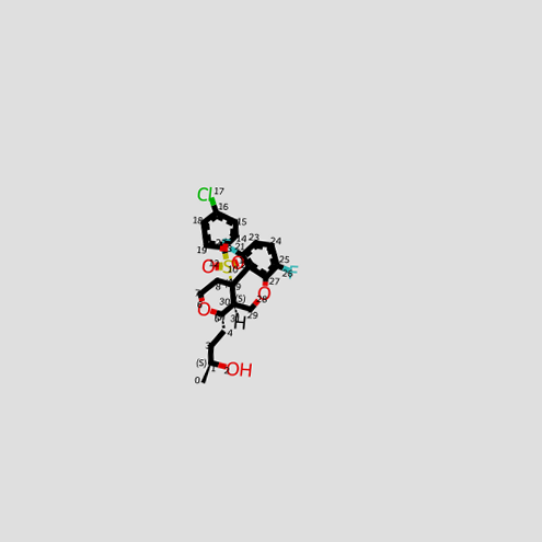 C[C@H](O)CC[C@@H]1OCC[C@@]2(S(=O)(=O)c3ccc(Cl)cc3)c3c(F)ccc(F)c3OC[C@@H]12